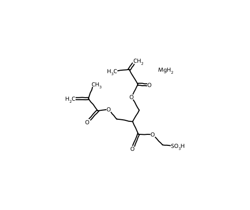 C=C(C)C(=O)OCC(COC(=O)C(=C)C)C(=O)OCS(=O)(=O)O.[MgH2]